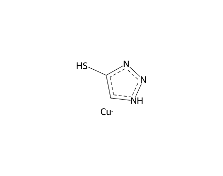 Sc1c[nH]nn1.[Cu]